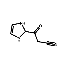 N#CCC(=O)C1NC=CN1